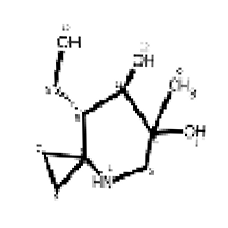 CC1(O)CNC2(CC2)[C@H](CO)[C@H]1O